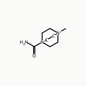 C[N+]12CC[N+](C(N)=O)(CC1)CC2